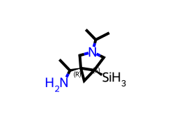 CC(C)N1C[C@]2([SiH3])C[C@]2(C(C)N)C1